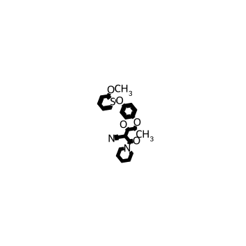 COC1=S(Oc2ccc(OC(C)C(=O)C(C#N)C(=O)N3CCCCC3)cc2)C=CC=C1